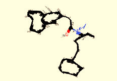 CC(CCc1ccccc1)NC(=O)Cc1ccc2ccccc2c1